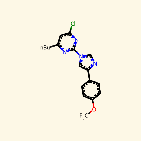 CCCCc1cc(Cl)nc(-n2cnc(-c3ccc(OC(F)(F)F)cc3)c2)n1